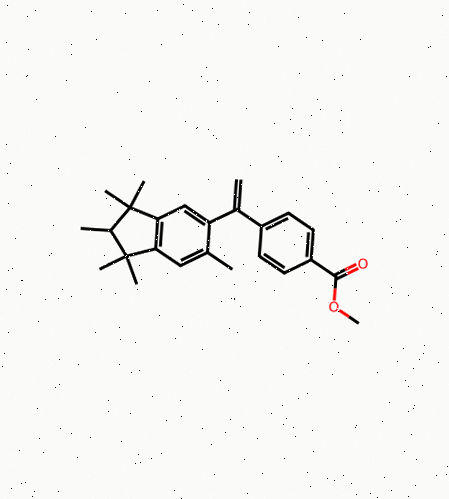 C=C(c1ccc(C(=O)OC)cc1)c1cc2c(cc1C)C(C)(C)C(C)C2(C)C